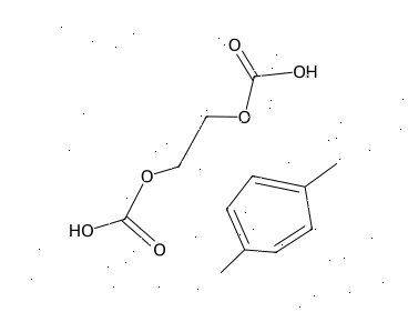 Cc1ccc(C)cc1.O=C(O)OCCOC(=O)O